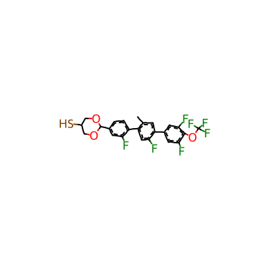 Cc1cc(-c2cc(F)c(OC(F)(F)F)c(F)c2)c(F)cc1-c1ccc(C2OCC(S)CO2)cc1F